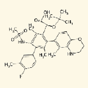 Cc1cc(-c2c(C)c(-c3ccc4c(c3C)NCCO4)c([C@H](OC(C)(C)C)C(=O)O)c(C)c2NS(C)(=O)=O)ccc1F